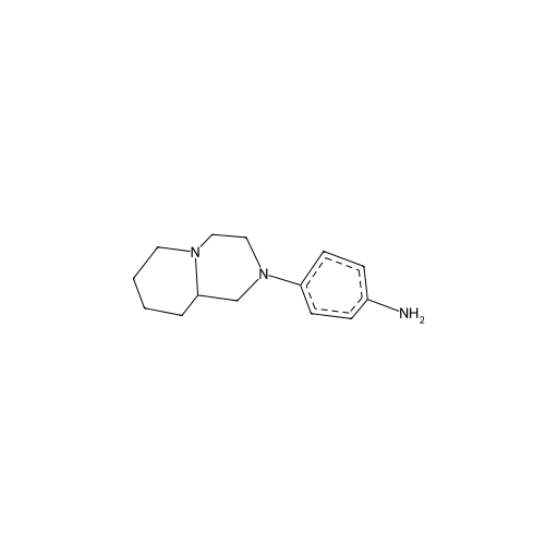 Nc1ccc(N2CCN3CCCCC3C2)cc1